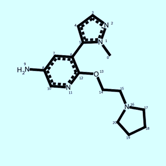 Cn1nccc1-c1cc(N)cnc1OCCN1CCCC1